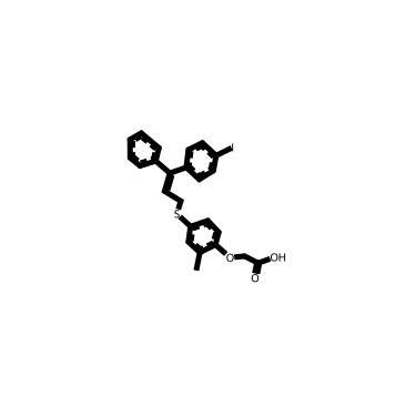 Cc1cc(SCC=C(c2ccccc2)c2ccc(I)cc2)ccc1OCC(=O)O